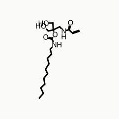 C=CC(=O)NCC(CO)(CO)OC(=O)NCCCCCCCCCCC